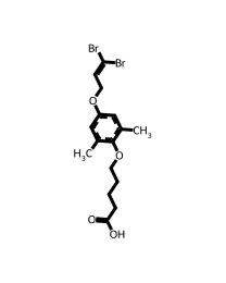 Cc1cc(OCC=C(Br)Br)cc(C)c1OCCCCC(=O)O